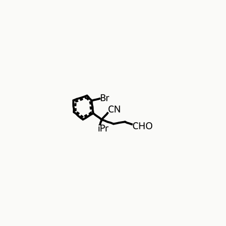 CC(C)C(C#N)(CCC=O)c1ccccc1Br